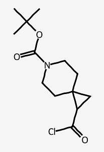 CC(C)(C)OC(=O)N1CCC2(CC1)CC2C(=O)Cl